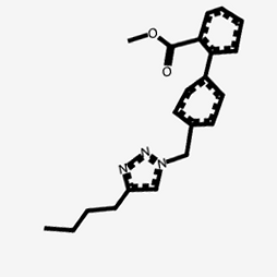 CCCCc1cn(Cc2ccc(-c3ccccc3C(=O)OC)cc2)nn1